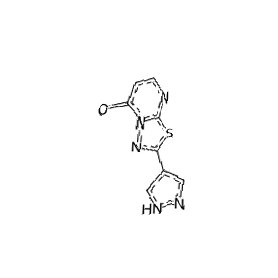 O=c1ccnc2sc(-c3cn[nH]c3)nn12